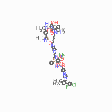 Cc1ncsc1-c1ccc([C@H](C)NC(=O)[C@@H]2C[C@@H](O)CN2C(=O)C(NC(=O)CCCCCC(=O)N2CC3CN(CCC(CSc4ccccc4)Nc4ccc(S(=O)(=O)NC(=O)c5ccc(N6CCN(CC7=C(c8ccc(Cl)cc8F)CCC(C)(C)C7)CC6)cc5)cc4S(=O)(=O)C(F)(F)F)CC3C2)C(C)(C)C)cc1